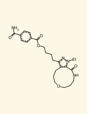 CCn1nc(CCCCOC(=O)c2ccc(C(N)=O)cc2)c2c1C(=O)NCCCOCCC2